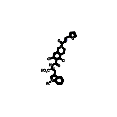 CC(=O)n1cc(C[C@H](NC(=O)c2c(Cl)cc3c(c2Cl)CCN(C(=O)/C=C/c2ccco2)C3)C(=O)O)c2ccccc21